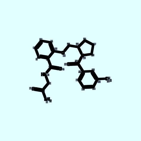 NC(=O)CNC(=O)c1ncccc1OCC1CCCN1C(=O)c1cccc(C(F)(F)F)c1